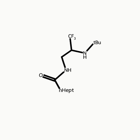 CCCCCCCC(=O)NCC(NC(C)(C)C)C(F)(F)F